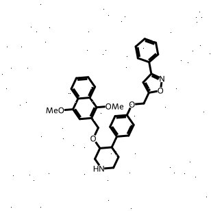 COc1cc(COC2CNCCC2c2ccc(OCc3cc(-c4ccccc4)no3)cc2)c(OC)c2ccccc12